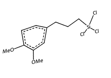 COc1ccc(CCC[Si](Cl)(Cl)Cl)cc1OC